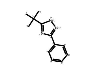 CC(C)(C)c1nc(-c2ccccc2)n[nH]1